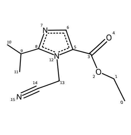 CCOC(=O)c1cnc(C(C)C)n1CC#N